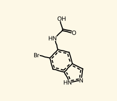 O=C(O)Nc1cc2cn[nH]c2cc1Br